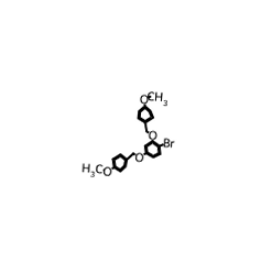 COc1ccc(COc2ccc(Br)c(OCc3ccc(OC)cc3)c2)cc1